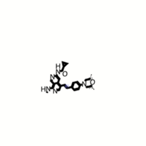 CNc1ncc(/C=C/c2ccc(N3C[C@@H](C)O[C@@H](C)C3)cc2)c2cc(NC(=O)C3CC3)ncc12